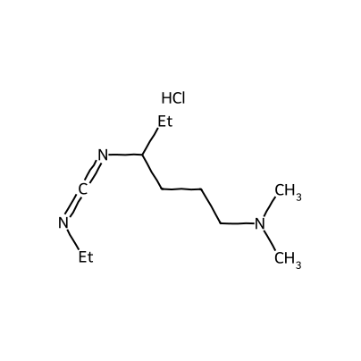 CCN=C=NC(CC)CCCN(C)C.Cl